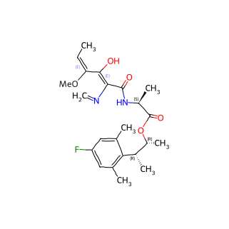 C=N/C(C(=O)N[C@@H](C)C(=O)O[C@H](C)[C@H](C)c1c(C)cc(F)cc1C)=C(O)\C(=C/C)OC